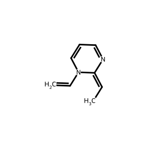 C=CN1C=CC=N/C1=C/C